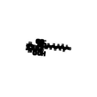 CCCCCCCCCCCOc1cc(O)c(C(=O)c2ccccc2)cc1[N+](=O)[O-]